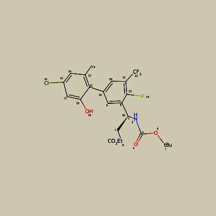 CCOC(=O)C[C@H](NC(=O)OC(C)(C)C)c1cc(-c2c(C)cc(Cl)cc2O)cc(C(F)(F)F)c1F